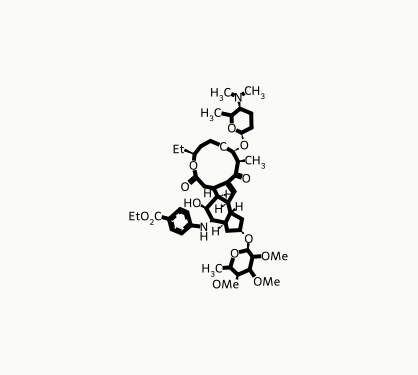 CCOC(=O)c1ccc(N[C@@H]2[C@@H](O)[C@@H]3[C@@H](C=C4C(=O)[C@H](C)[C@@H](O[C@H]5CC[C@H](N(C)C)C(C)O5)CCC[C@H](CC)OC(=O)C[C@H]43)[C@@H]3C[C@H](O[C@@H]4OC(C)[C@H](OC)C(OC)C4OC)C[C@H]32)cc1